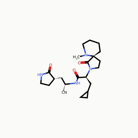 CN1CCCC[C@]12CCN([C@@H](CC1CC1)C(=O)N[C@H](C#N)C[C@@H]1CCNC1=O)C2=O